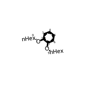 [CH2]CCCCCOc1ccccc1OCCCCCC